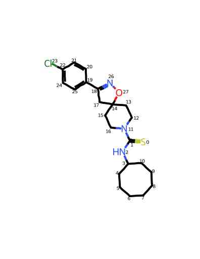 S=C(NC1CCCCCCC1)N1CCC2(CC1)CC(c1ccc(Cl)cc1)=NO2